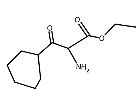 CCOC(=O)C(N)C(=O)C1CCCCC1